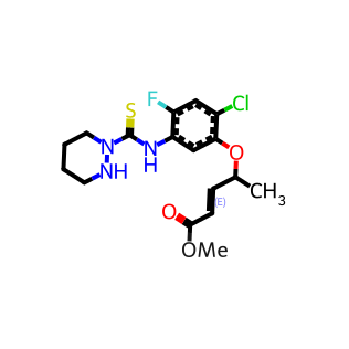 COC(=O)/C=C/C(C)Oc1cc(NC(=S)N2CCCCN2)c(F)cc1Cl